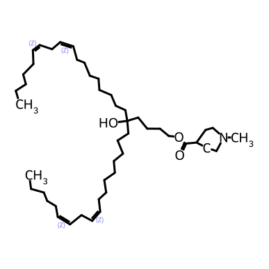 CCCCC/C=C\C/C=C\CCCCCCCCC(O)(CCCCCCCC/C=C\C/C=C\CCCCC)CCCCOC(=O)C1CCN(C)CC1